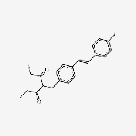 CCC(=O)C(Cc1ccc(/C=C/c2ccc(I)cc2)cc1)C(=O)CC